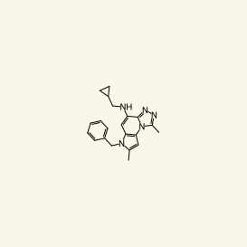 Cc1cc2c(cc(NCC3CC3)c3nnc(C)n32)n1Cc1ccccc1